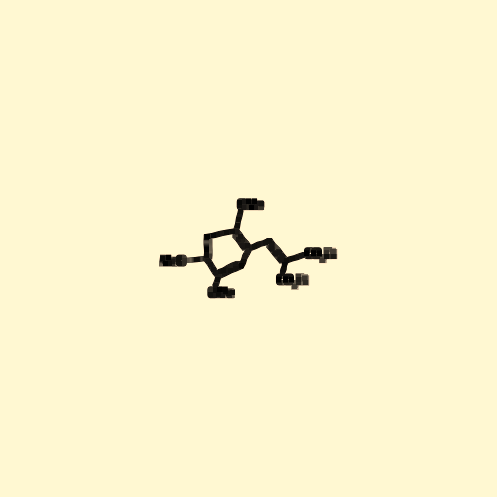 CCOC(=O)C(=Cc1cc(OC)c(OC)cc1OC)C(=O)OCC